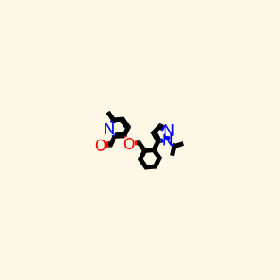 Cc1ccc(OCC2CCCCC2c2ccnn2C(C)C)c(C=O)n1